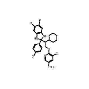 O=C(O)c1cnc(OCC(C2CCCCC2)C2(c3ccc(Cl)cc3)Nc3cc(F)c(F)cc3N2)c(Cl)c1